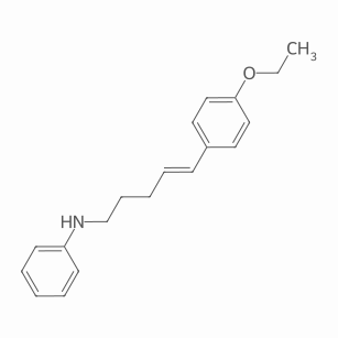 CCOc1ccc(C=CCCCNc2ccccc2)cc1